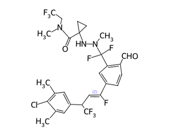 Cc1cc(C(/C=C(\F)c2ccc(C=O)c(C(F)(F)N(C)NC3(C(=O)N(C)CC(F)(F)F)CC3)c2)C(F)(F)F)cc(C)c1Cl